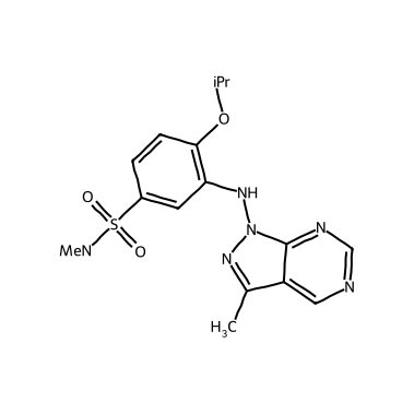 CNS(=O)(=O)c1ccc(OC(C)C)c(Nn2nc(C)c3cncnc32)c1